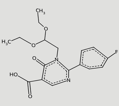 CCOC(Cn1c(-c2ccc(F)cc2)ncc(C(=O)O)c1=O)OCC